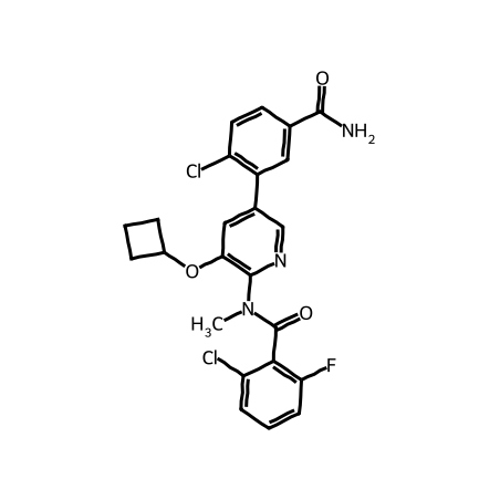 CN(C(=O)c1c(F)cccc1Cl)c1ncc(-c2cc(C(N)=O)ccc2Cl)cc1OC1CCC1